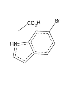 Brc1ccc2cc[nH]c2c1.CC(=O)O